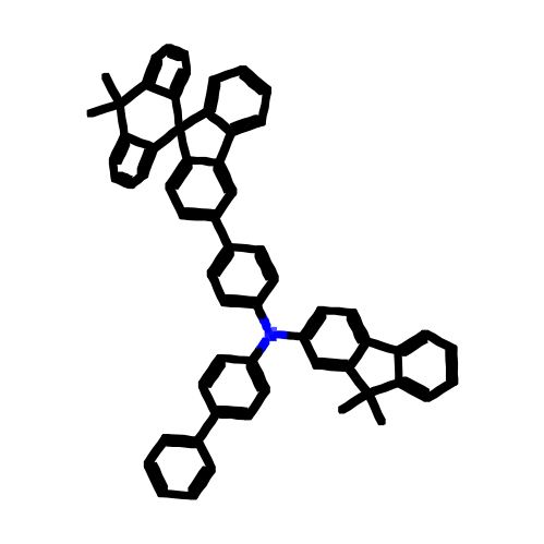 CC1(C)c2ccccc2-c2ccc(N(c3ccc(-c4ccccc4)cc3)c3ccc(-c4ccc5c(c4)-c4ccccc4C54c5ccccc5C(C)(C)c5ccccc54)cc3)cc21